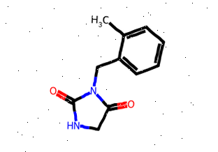 Cc1ccccc1CN1C(=O)CNC1=O